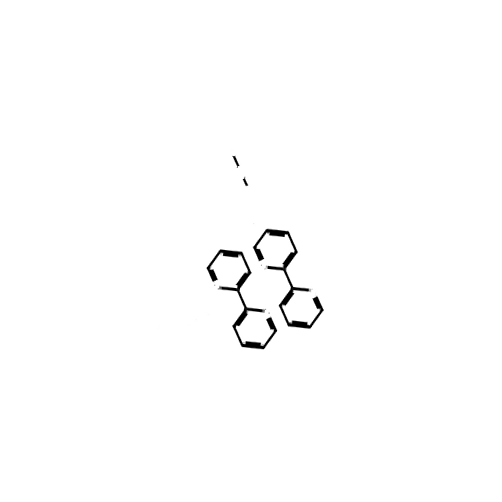 O.O.O.O.O.O.[Cl][Ru][Cl].c1ccc(-c2ccccn2)nc1.c1ccc(-c2ccccn2)nc1